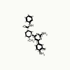 C[C@@H]1CC[C@H](C(=O)Nc2ccccc2)CN1c1cc(-c2ccc(N)c(F)c2)nc(N)n1